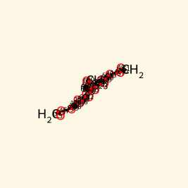 C=CC(=O)OCCCCOc1ccc(C(=O)Oc2ccc(C(=O)Oc3ccc(OC(=O)c4ccc(OC(=O)c5ccc(OCCCCOC(=O)C=C)cc5)cc4)c4c(OC(C)=O)cccc34)cc2)cc1